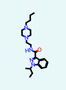 CCCCN1CCN(CCNC(=O)c2nn(C(C)CC)c3ccccc23)CC1